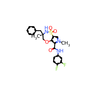 Cn1cc2c(c1C(=O)Nc1ccc(F)c(F)c1)OC[C@](C)(Cc1ccccc1)NS2(=O)=O